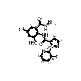 Cc1cc(Cl)cc(C(=O)NN)c1NC(=O)c1ccnn1-c1ncccc1Cl